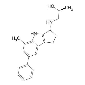 Cc1cc(-c2ccccc2)cc2c3c([nH]c12)[C@H](NC[C@H](C)O)CC3